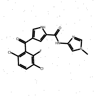 Cn1cnc(NC(=O)c2cc(C(=O)c3c(Cl)ccc(Cl)c3F)c[nH]2)c1